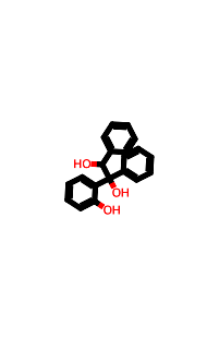 Oc1ccccc1C(O)(c1ccccc1)C(O)c1ccccc1